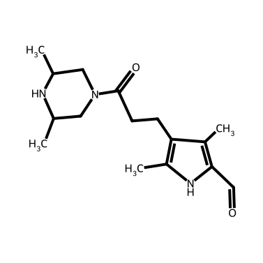 Cc1[nH]c(C=O)c(C)c1CCC(=O)N1CC(C)NC(C)C1